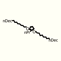 [CH2]CCc1c(OCCCCCCCCCCCCCCCCCCC)cccc1OCCCCCCCCCCCCCCCCCCC